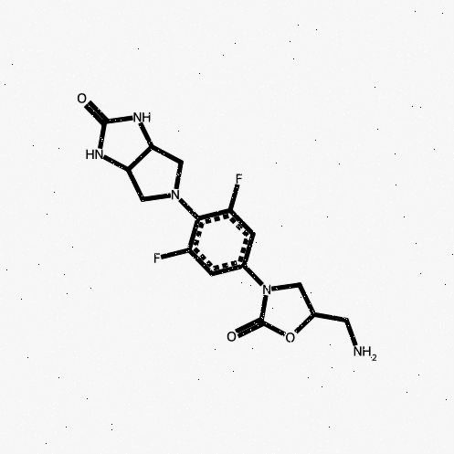 NCC1CN(c2cc(F)c(N3CC4NC(=O)NC4C3)c(F)c2)C(=O)O1